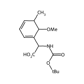 COC1C(C(NC(=O)OC(C)(C)C)C(=O)O)=CC=CC1C